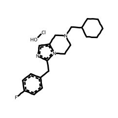 Fc1ccc(Cc2ncc3n2CCN(CC2CCCCC2)C3)cc1.OCl